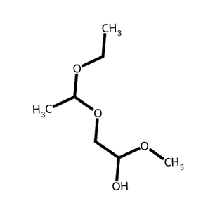 CCOC(C)OCC(O)OC